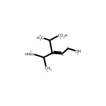 CCCCCCC(C)C(=CCO)C(C)C(=O)O